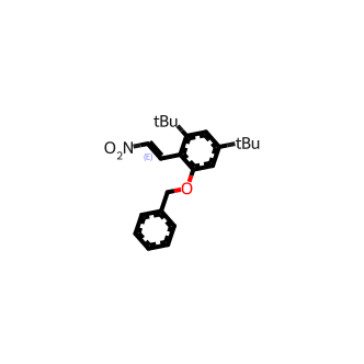 CC(C)(C)c1cc(OCc2ccccc2)c(/C=C/[N+](=O)[O-])c(C(C)(C)C)c1